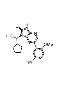 COc1ccc(C(C)C)cc1-c1cnc2[nH]c(=O)n(C(C)C3CCCC3)c2n1